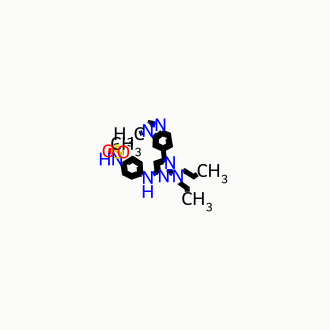 CCCN(CCC)c1nc(Nc2ccc(NS(C)(=O)=O)cc2)cc(-c2ccc3ncn(C)c3c2)n1